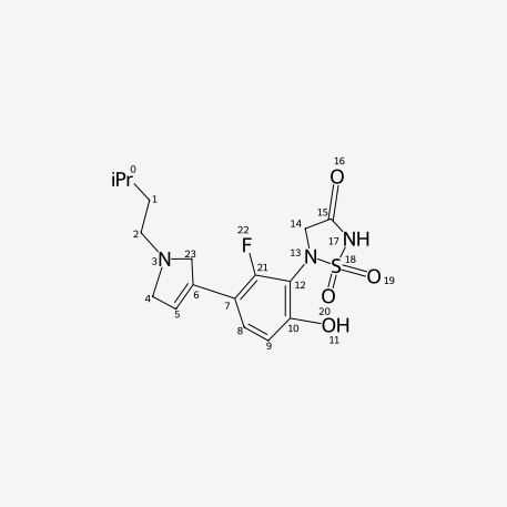 CC(C)CCN1CC=C(c2ccc(O)c(N3CC(=O)NS3(=O)=O)c2F)C1